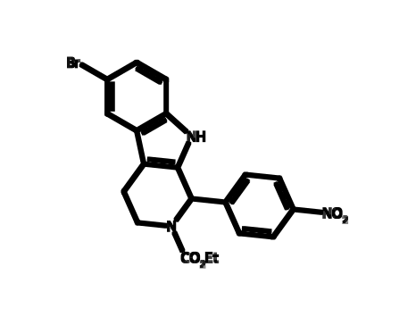 CCOC(=O)N1CCc2c([nH]c3ccc(Br)cc23)C1c1ccc([N+](=O)[O-])cc1